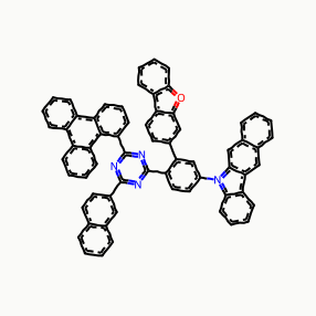 c1ccc2cc(-c3nc(-c4ccc(-n5c6ccccc6c6cc7ccccc7cc65)cc4-c4ccc5c(c4)oc4ccccc45)nc(-c4cccc5c6ccccc6c6ccccc6c45)n3)ccc2c1